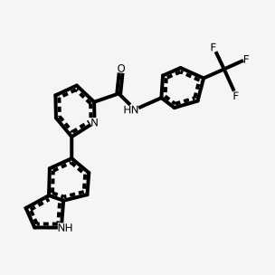 O=C(Nc1ccc(C(F)(F)F)cc1)c1cccc(-c2ccc3[nH]ccc3c2)n1